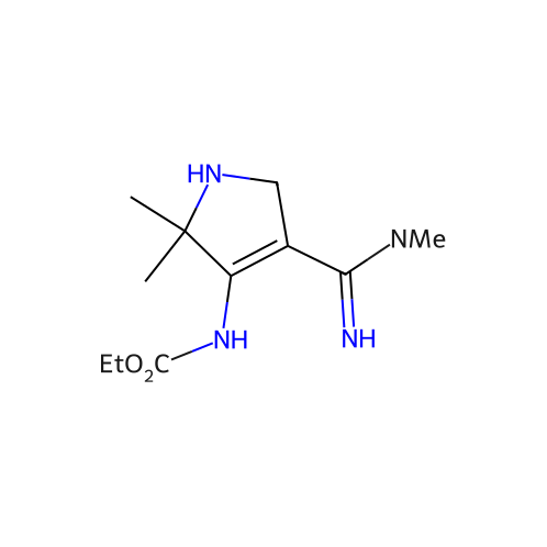 CCOC(=O)NC1=C(C(=N)NC)CNC1(C)C